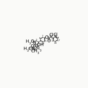 CN(CC(O)c1ccc(OC(=O)C(Cl)c2ccccc2Cl)cc1)C(=O)OC(C)(C)C